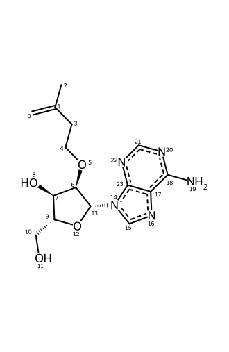 C=C(C)CCO[C@@H]1[C@H](O)[C@@H](CO)O[C@H]1n1cnc2c(N)ncnc21